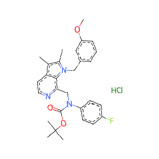 COc1cccc(Cn2c(C)c(C)c3ccnc(CN(C(=O)OC(C)(C)C)c4ccc(F)cc4)c32)c1.Cl